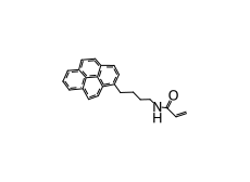 C=CC(=O)NCCCCc1ccc2ccc3cccc4ccc1c2c34